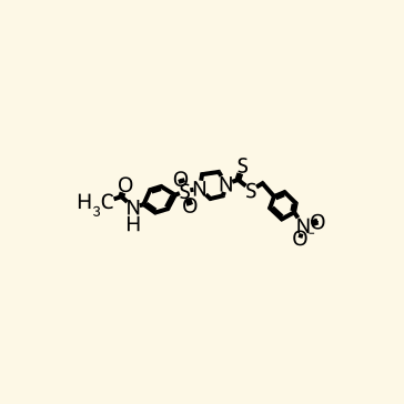 CC(=O)Nc1ccc(S(=O)(=O)N2CCN(C(=S)SCc3ccc([N+](=O)[O-])cc3)CC2)cc1